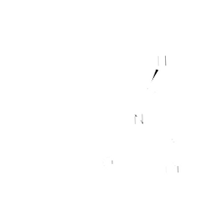 CC(C)[C@H]1CC[C@H]2C(C)Cc3ccccc3C(=O)N12